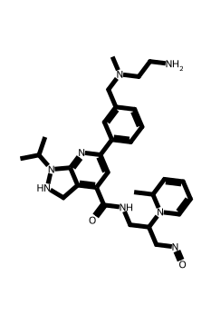 CC(C)N1NCc2c(C(=O)NCC(CN=O)N3C=CC=CC3C)cc(-c3cccc(CN(C)CCN)c3)nc21